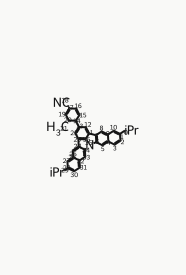 CC(C)c1ccc2cc3c(cc2c1)c1cc(C2C=CC(C#N)=CC2C)cc2c4cc5cc(C(C)C)ccc5cc4n3c12